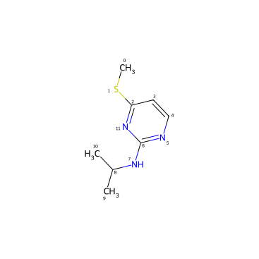 CSc1ccnc(NC(C)C)n1